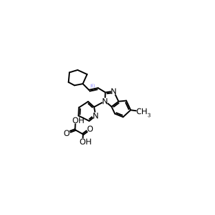 Cc1ccc2c(c1)nc(/C=C/C1CCCCC1)n2-c1ccccn1.O=C(O)C(=O)O